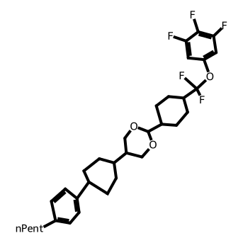 CCCCCc1ccc(C2CCC(C3COC(C4CCC(C(F)(F)Oc5cc(F)c(F)c(F)c5)CC4)OC3)CC2)cc1